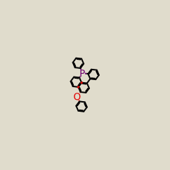 c1ccc(Oc2ccc(-c3ccccc3P(c3ccccc3)c3ccccc3)cc2)cc1